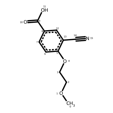 COCCOc1ccc(C(=O)O)cc1C#N